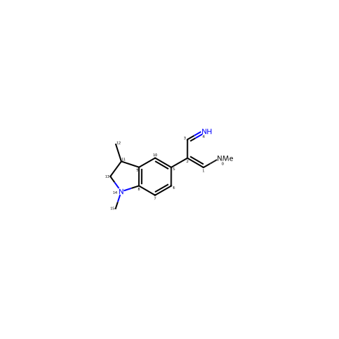 CN/C=C(\C=N)c1ccc2c(c1)C(C)CN2C